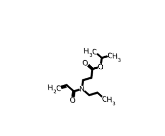 C=CC(=O)N(CCC)CCC(=O)OC(C)C